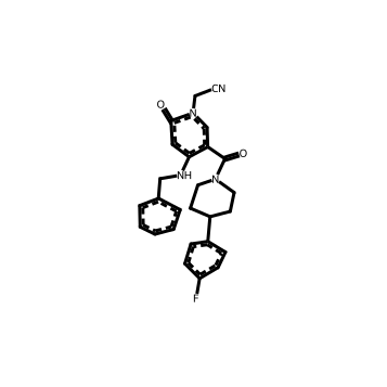 N#CCn1cc(C(=O)N2CCC(c3ccc(F)cc3)CC2)c(NCc2ccccc2)cc1=O